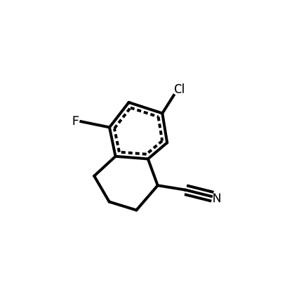 N#CC1CCCc2c(F)cc(Cl)cc21